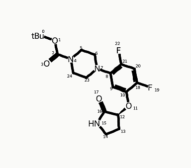 CC(C)(C)OC(=O)N1CCN(c2cc(O[C@H]3CCNC3=O)c(F)cc2F)CC1